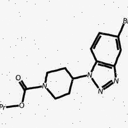 CC(C)OC(=O)N1CCC(n2nnc3cc(Br)ccc32)CC1